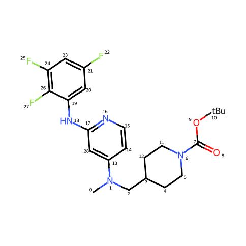 CN(CC1CCN(C(=O)OC(C)(C)C)CC1)c1ccnc(Nc2cc(F)cc(F)c2F)c1